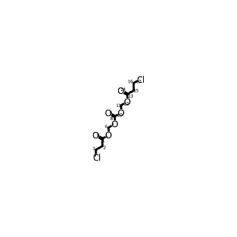 O=C(CCCl)OCOC(=O)OCOC(=O)CCCl